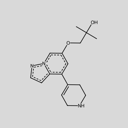 CC(C)(O)COc1cc(C2=CCNCC2)c2ccnn2c1